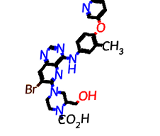 Cc1cc(Nc2ncnc3cc(Br)c(N4CCN(C(=O)O)C(CO)C4)nc23)ccc1Oc1cccnc1